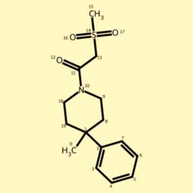 CC1(c2ccccc2)CCN(C(=O)CS(C)(=O)=O)CC1